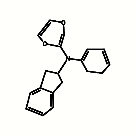 C1=CCCC(N(C2=COC=CO2)C2Cc3ccccc3C2)=C1